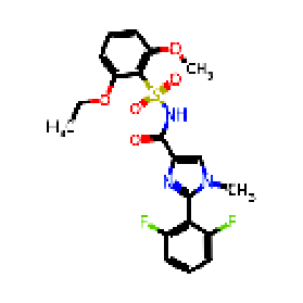 CCOc1cccc(OC)c1S(=O)(=O)NC(=O)c1cn(C)c(-c2c(F)cccc2F)n1